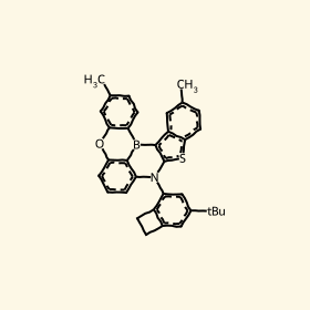 Cc1ccc2c(c1)Oc1cccc3c1B2c1c(sc2ccc(C)cc12)N3c1cc(C(C)(C)C)cc2c1CC2